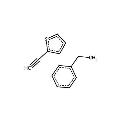 C#Cc1cccs1.CCc1ccccc1